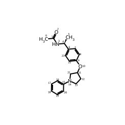 CC(=O)N[C@@H](C)c1ccc(OC2CCN(c3ccccc3)C2)cc1